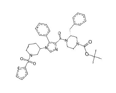 CC(C)(C)OC(=O)N1CCN(C(=O)c2ncn(C3CCCN(S(=O)(=O)c4cccs4)C3)c2-c2ccccc2)[C@H](Cc2ccccc2)C1